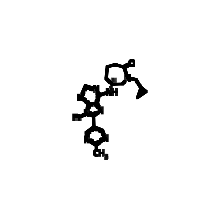 CCn1c(-c2cnc(C)nc2)nc2c(N[C@@H]3CCCC(=O)N(CC4CC4)C3)ncnc21